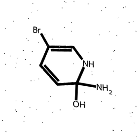 NC1(O)C=CC(Br)=CN1